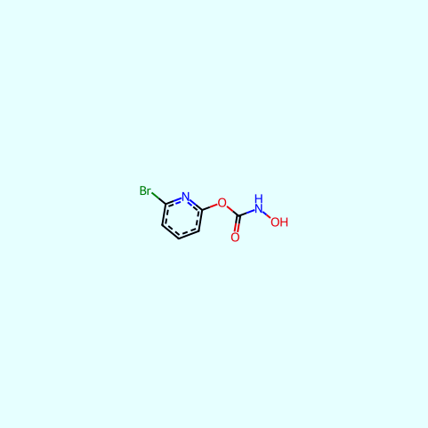 O=C(NO)Oc1cccc(Br)n1